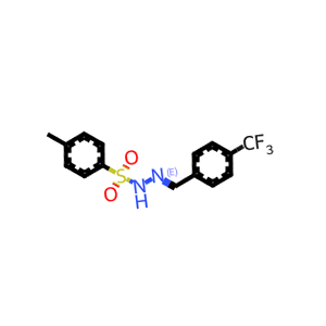 Cc1ccc(S(=O)(=O)N/N=C/c2ccc(C(F)(F)F)cc2)cc1